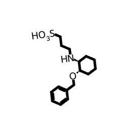 O=S(=O)(O)CCCN[C@H]1CCCC[C@@H]1OCc1ccccc1